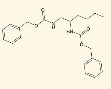 CCCCC(CNC(=O)OCc1ccccc1)NC(=O)OCc1ccccc1